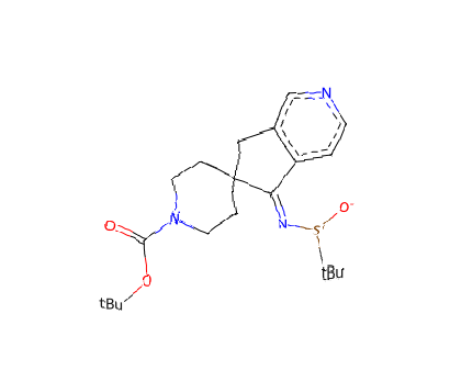 CC(C)(C)OC(=O)N1CCC2(CC1)Cc1cnccc1C2=N[S+]([O-])C(C)(C)C